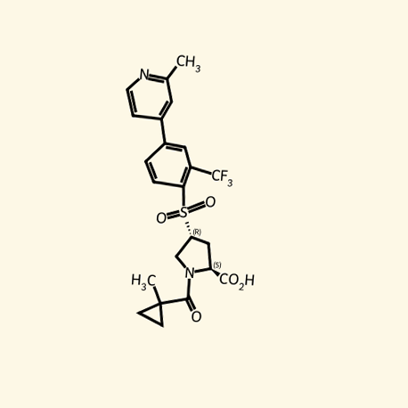 Cc1cc(-c2ccc(S(=O)(=O)[C@@H]3C[C@@H](C(=O)O)N(C(=O)C4(C)CC4)C3)c(C(F)(F)F)c2)ccn1